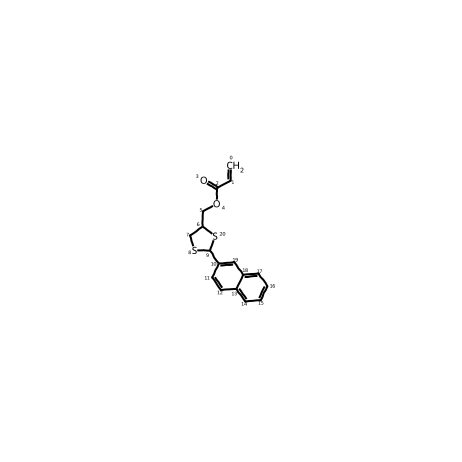 C=CC(=O)OCC1CSC(c2ccc3ccccc3c2)S1